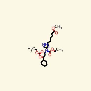 CCOC(=O)OC(CCN(C(=O)OCC)C(CN)CCCCCCC(=O)OC)C1CCCCC1